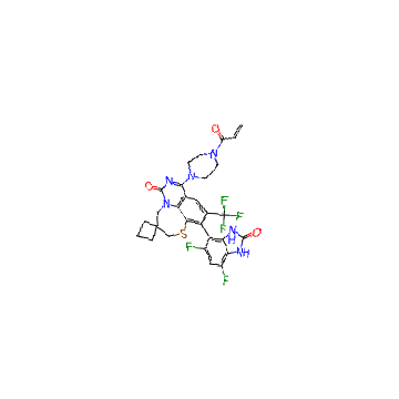 C=CC(=O)N1CCN(c2nc(=O)n3c4c(c(-c5c(F)cc(F)c6[nH]c(=O)[nH]c56)c(C(F)(F)F)cc24)SCC2(CCC2)C3)CC1